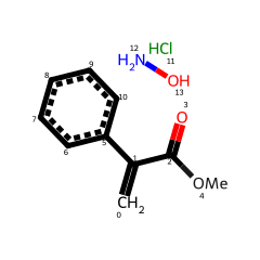 C=C(C(=O)OC)c1ccccc1.Cl.NO